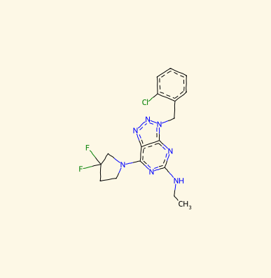 CCNc1nc(N2CCC(F)(F)C2)c2nnn(Cc3ccccc3Cl)c2n1